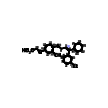 CCc1cccc(/C(=C\CSc2ccc(OCC(=O)O)cc2C)c2ccccc2)c1